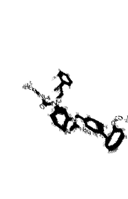 CCCCCCNC(=O)N(CCc1ccccc1)c1ccc2nc(CCCC)n(Cc3ccc(-c4ccccc4OC(=O)O)cc3)c2c1